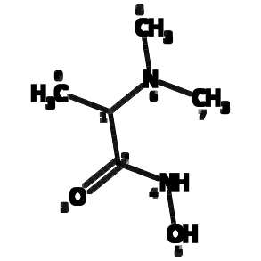 CC(C(=O)NO)N(C)C